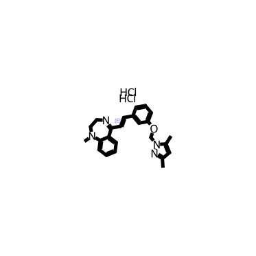 Cc1cc(C)n(COc2cccc(/C=C/C3=NCCN(C)c4ccccc43)c2)n1.Cl.Cl